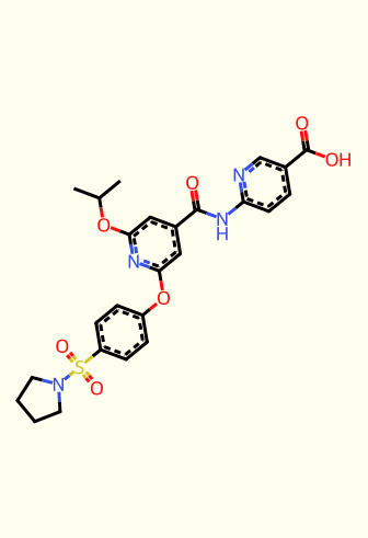 CC(C)Oc1cc(C(=O)Nc2ccc(C(=O)O)cn2)cc(Oc2ccc(S(=O)(=O)N3CCCC3)cc2)n1